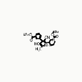 COC(=O)c1cccc(C2C(C#N)=C(C)NC(C3CCCN(C(=O)OC(C)(C)C)C3)=C2C#N)c1